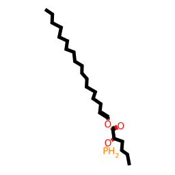 CCCCCCCCCCCCCCCCC=COC(=O)C(CCCC)OP